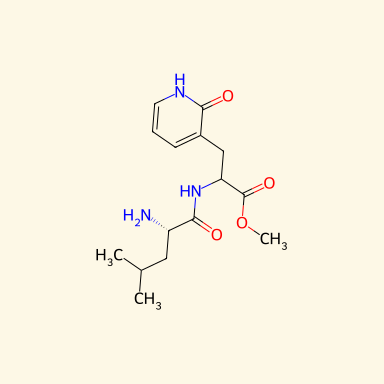 COC(=O)C(Cc1ccc[nH]c1=O)NC(=O)[C@@H](N)CC(C)C